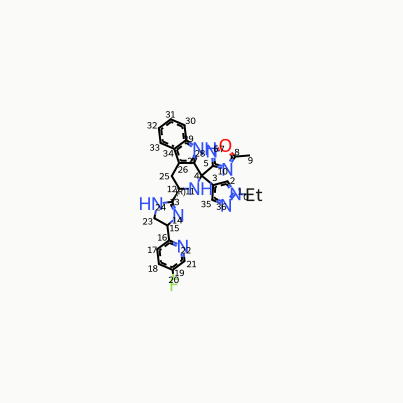 CCn1cc(C2(c3noc(C)n3)N[C@@H](C3=NC(c4ccc(F)cn4)CN3)Cc3c2[nH]c2ccccc32)cn1